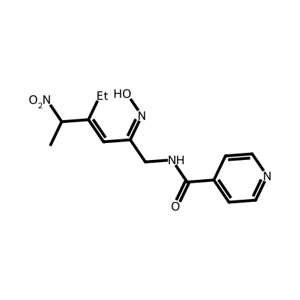 CCC(=CC(CNC(=O)c1ccncc1)=NO)C(C)[N+](=O)[O-]